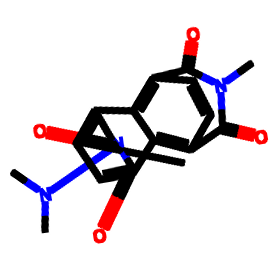 CN(C)n1c(=O)c2ccc(c1=O)c1c3ccc(c(=O)n(C)c3=O)c21